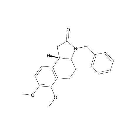 COc1ccc2c(c1OC)CCC1[C@H]2CC(=O)N1Cc1ccccc1